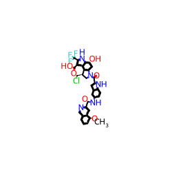 COc1cccc2cnc(C(=O)Nc3ccc4[nH]c(C(=O)N5C[C@@H](CCl)c6c5cc(O)c5[nH]c(C(F)(F)F)c(C(=O)O)c65)cc4c3)cc12